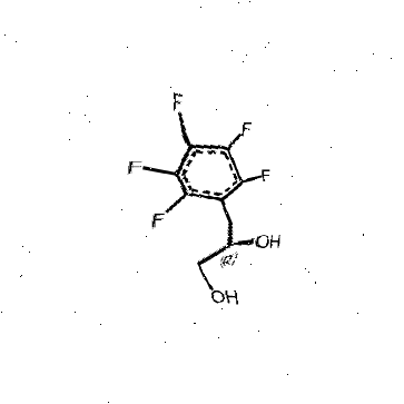 OC[C@H](O)c1c(F)c(F)c(F)c(F)c1F